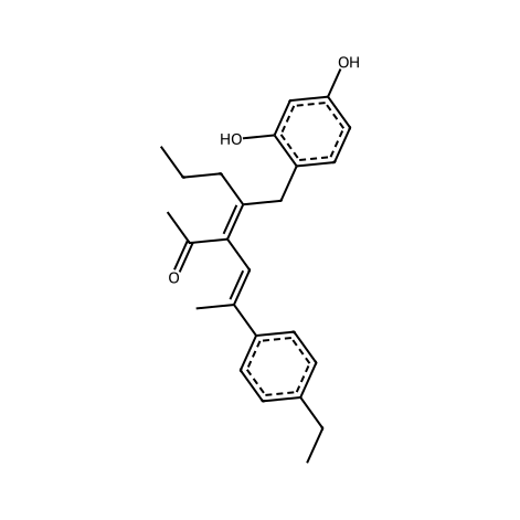 CCC/C(Cc1ccc(O)cc1O)=C(/C=C(\C)c1ccc(CC)cc1)C(C)=O